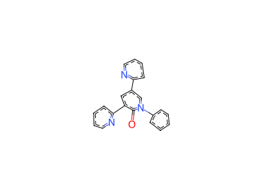 O=c1c(-c2ccccn2)cc(-c2ccccn2)cn1-c1ccccc1